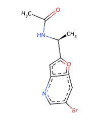 CC(=O)N[C@@H](C)c1cc2ncc(Br)cc2o1